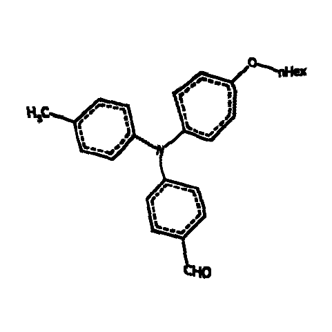 CCCCCCOc1ccc(N(c2ccc(C)cc2)c2ccc(C=O)cc2)cc1